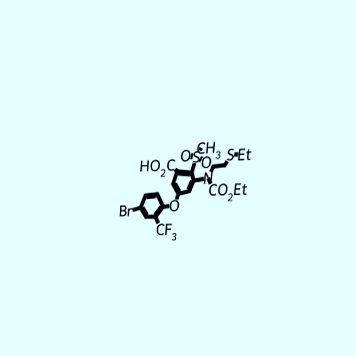 CCOC(=O)N(CCSCC)c1cc(Oc2ccc(Br)cc2C(F)(F)F)cc(C(=O)O)c1S(C)(=O)=O